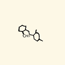 CC1CCC(CCC2CCCCC2C=O)C(C)C1